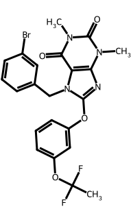 Cn1c(=O)c2c(nc(Oc3cccc(OC(C)(F)F)c3)n2Cc2cccc(Br)c2)n(C)c1=O